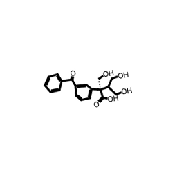 O=C(c1ccccc1)c1cccc([C@](CO)(C(=O)O)C(CO)CO)c1